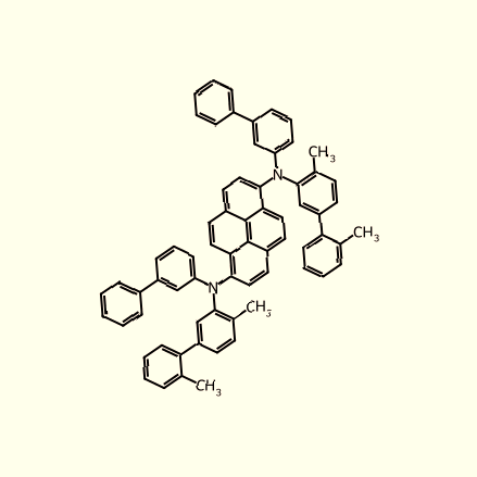 Cc1ccccc1-c1ccc(C)c(N(c2cccc(-c3ccccc3)c2)c2ccc3ccc4c(N(c5cccc(-c6ccccc6)c5)c5cc(-c6ccccc6C)ccc5C)ccc5ccc2c3c54)c1